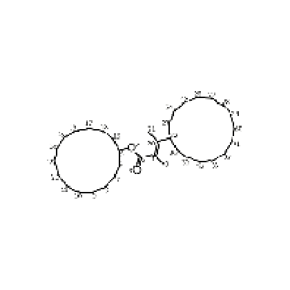 CC(C(=O)OC1CCCCCCCCCCCCCC1)=C(C)C1CCCCCCCCCCCCCC1